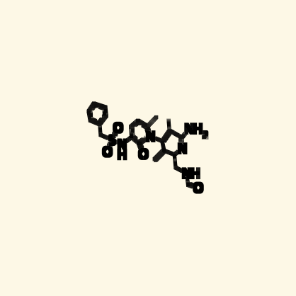 C=C1C(n2c(C)ccc(NS(=O)(=O)Cc3ccccc3)c2=O)=C(C)C(N)=NC1CNC=O